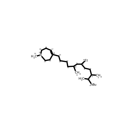 CCCCC(C)C(C)CCC(CC)CC(C)CCCCC1=CCCN(C)CC1